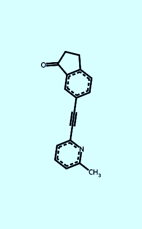 Cc1cccc(C#Cc2ccc3c(c2)C(=O)CC3)n1